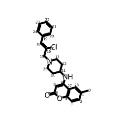 Cc1ccc2oc(=O)cc(NC3CCN(CC(Cl)=Cc4ccccc4)CC3)c2c1